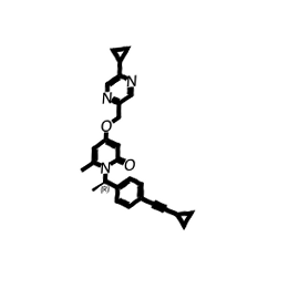 Cc1cc(OCc2cnc(C3CC3)cn2)cc(=O)n1[C@H](C)c1ccc(C#CC2CC2)cc1